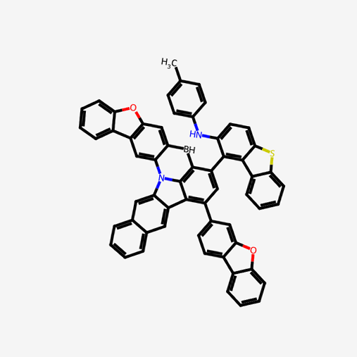 Cc1ccc(Nc2ccc3sc4ccccc4c3c2-c2cc(-c3ccc4c(c3)oc3ccccc34)c3c4cc5ccccc5cc4n4c3c2Bc2cc3oc5ccccc5c3cc2-4)cc1